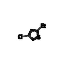 CCc1cc(Cl)cs1